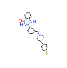 O=C1NC(c2cccc(CN3CC=C(c4ccc(F)cc4)CC3)c2)Nc2ccccc21